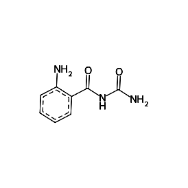 NC(=O)NC(=O)c1ccccc1N